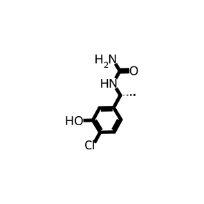 C[C@@H](NC(N)=O)c1ccc(Cl)c(O)c1